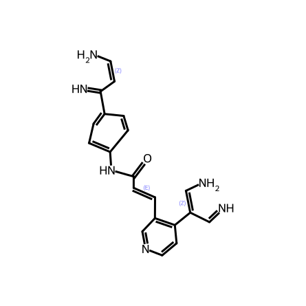 N=C/C(=C\N)c1ccncc1/C=C/C(=O)Nc1ccc(C(=N)/C=C\N)cc1